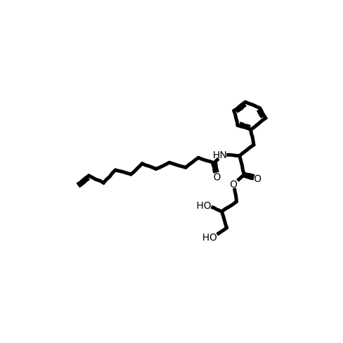 C=CCCCCCCCCC(=O)NC(Cc1ccccc1)C(=O)OCC(O)CO